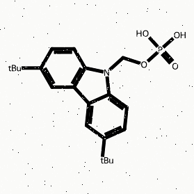 CC(C)(C)c1ccc2c(c1)c1cc(C(C)(C)C)ccc1n2COP(=O)(O)O